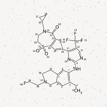 CCc1cc2c(cc1Nc1ncc(C(F)(F)F)c(-c3cc4c(s3)C(=O)N(C3CC3)CCS4(=O)=O)n1)CCN(CCF)C2